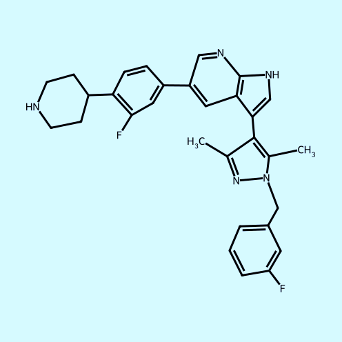 Cc1nn(Cc2cccc(F)c2)c(C)c1-c1c[nH]c2ncc(-c3ccc(C4CCNCC4)c(F)c3)cc12